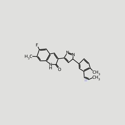 C/C=C\c1cc(C2C=C(c3cc4cc(F)c(C)cc4[nH]c3=O)N=N2)ccc1C